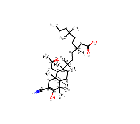 CCCC(C)(C)CC[C@@](C)(CCC(C)(C)[C@]1(C)CC[C@H]2C(C)(C)C(O)=C(C#N)C[C@]2(C)[C@H]1CC(C)=O)CC(=O)O